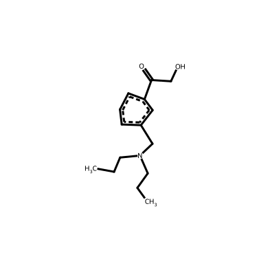 CCCN(CCC)Cc1cccc(C(=O)CO)c1